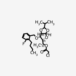 CCCCc1c(F)cccc1CO[C@@H]1[C@H]2OC(C(C)C)O[C@H]2O[C@@H]1[C@@H](C)OC(=O)CCl